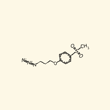 CS(=O)(=O)c1ccc(OCCCN=[N+]=[N-])cc1